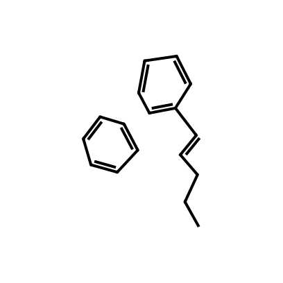 CCCC=Cc1ccccc1.c1ccccc1